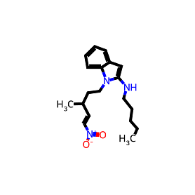 CCCCCNc1cc2ccccc2n1CCC(C)C=C[N+](=O)[O-]